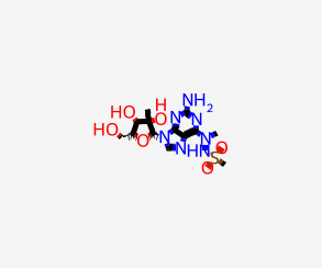 CN(NS(C)(=O)=O)c1nc(N)nc2c1ncn2[C@@H]1O[C@H](CO)C(O)C1(C)O